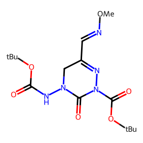 CON=CC1=NN(C(=O)OC(C)(C)C)C(=O)N(NC(=O)OC(C)(C)C)C1